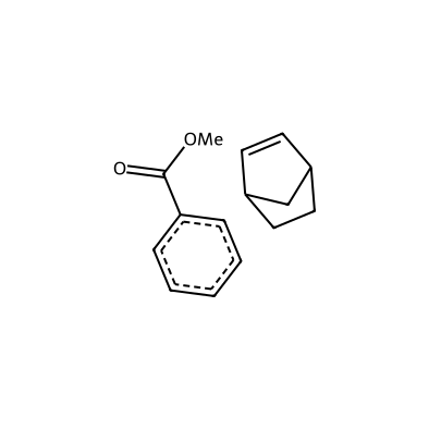 C1=CC2CCC1C2.COC(=O)c1ccccc1